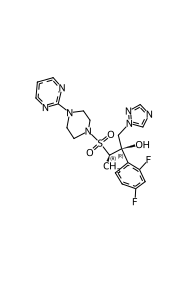 C[C@H]([C@](O)(Cn1cncn1)c1ccc(F)cc1F)S(=O)(=O)N1CCN(c2ncccn2)CC1